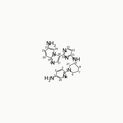 Nc1ccc(N2CCC[C@@H](Nc3ccnc(-c4cnc5ccc(N)cn45)n3)C2)nc1